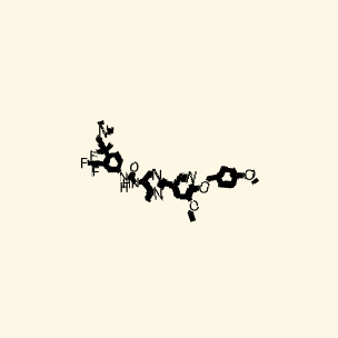 CCOc1cc(-c2ncc(NC(=O)Nc3ccc(C(C)(C)CN(C)C)c(C(F)(F)F)c3)c(C)n2)cnc1OCc1ccc(OC)cc1